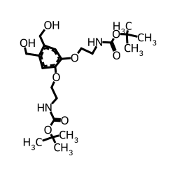 CC(C)(C)OC(=O)NCCOc1cc(CO)c(CO)cc1OCCNC(=O)OC(C)(C)C